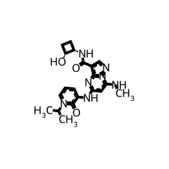 CNc1cc(Nc2cccn(C(C)C)c2=O)nc2c(C(=O)N[C@H]3CC[C@H]3O)cnn12